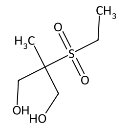 CCS(=O)(=O)C(C)(CO)CO